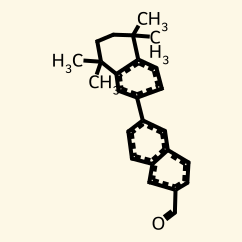 CC1(C)CCC(C)(C)c2cc(-c3ccc4cc(C=O)ccc4c3)ccc21